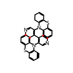 c1ccc2c(c#1)N(c1cnc#cc1C1=C(N3C4=C(C=CCC4)Sc4ccccc43)C=NCC1)c1ccccc1S2